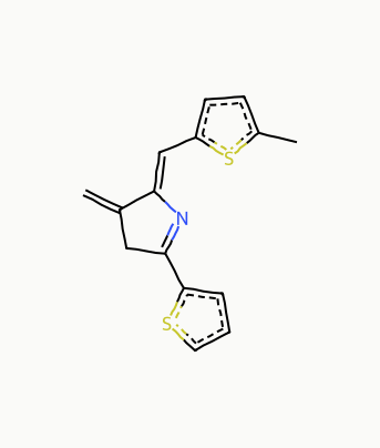 C=C1CC(c2cccs2)=N/C1=C\c1ccc(C)s1